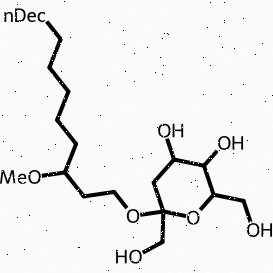 CCCCCCCCCCCCCCCC(CCOC1(CO)CC(O)C(O)C(CO)O1)OC